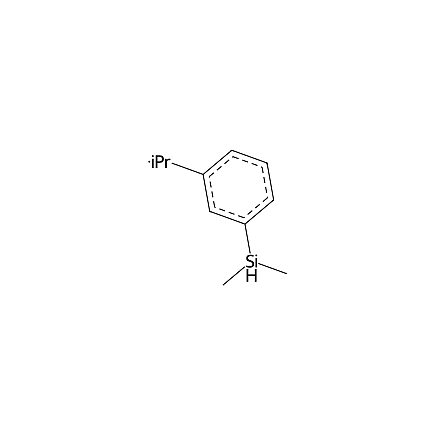 C[C](C)c1cccc([SiH](C)C)c1